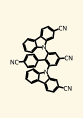 N#Cc1ccc(-c2c(-n3c4ccccc4c4ccc(C#N)cc43)cc(C#N)cc2-n2c3ccccc3c3ccc(C#N)cc32)cc1